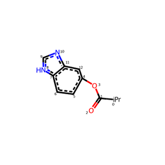 CC(C)C(=O)Oc1ccc2[nH]cnc2c1